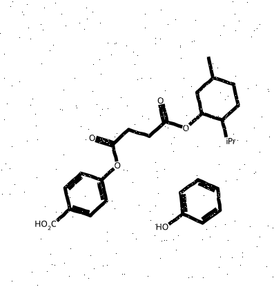 CC1CCC(C(C)C)C(OC(=O)CCC(=O)Oc2ccc(C(=O)O)cc2)C1.Oc1ccccc1